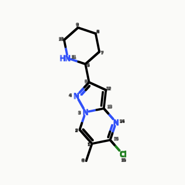 Cc1cn2nc(C3CCCCN3)cc2nc1Cl